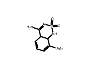 COC1=CC=CC2C(N)=NS(=O)(=O)NC12